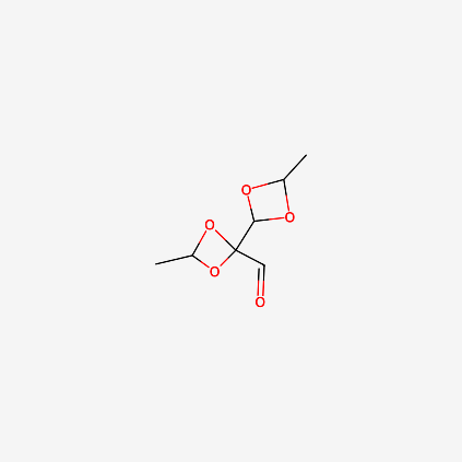 CC1OC(C2(C=O)OC(C)O2)O1